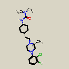 C[C@@H]1CN(c2cccc(Cl)c2Cl)CCN1CC[C@H]1CC[C@H](NC(=O)N(C)C)CC1